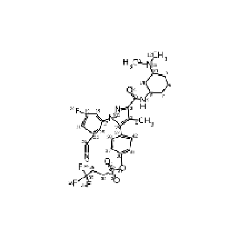 Cc1c(C(=O)NC2CCCC(N(C)C)C2)nn(-c2cc(F)cc(C#N)c2)c1-c1ccc(OS(=O)(=O)CCC(F)(F)F)cc1